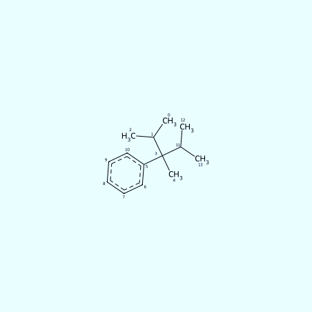 CC(C)C(C)(c1ccccc1)C(C)C